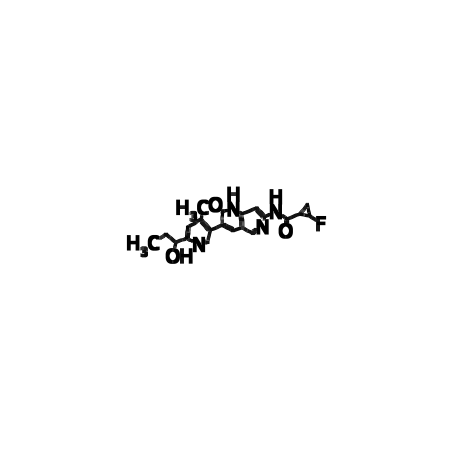 CCC(O)c1cc(C)c(-c2cc3cnc(NC(=O)C4CC4F)cc3[nH]c2=O)cn1